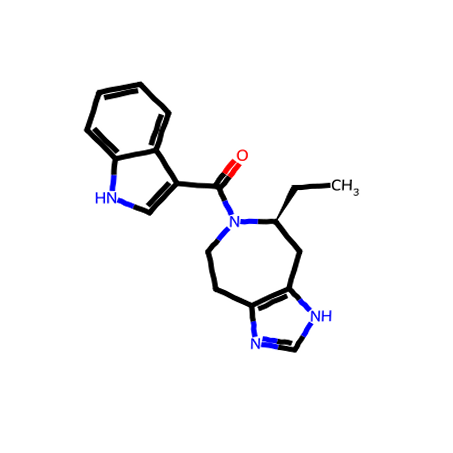 CC[C@H]1Cc2[nH]cnc2CCN1C(=O)c1c[nH]c2ccccc12